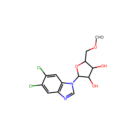 O=COCC1OC(n2cnc3cc(Cl)c(Cl)cc32)C(O)C1O